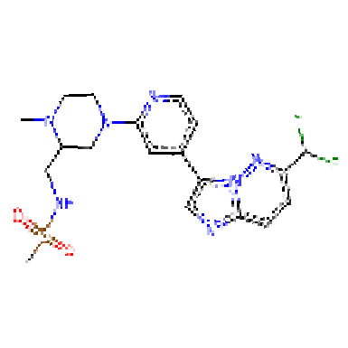 CN1CCN(c2cc(-c3cnc4ccc(C(F)F)nn34)ccn2)CC1CNS(C)(=O)=O